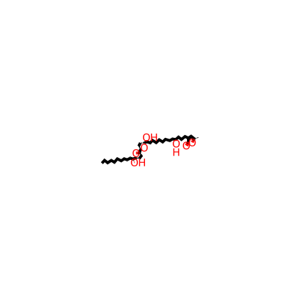 CCCCCCCCCC[C@@H](O)[C@H]1CC[C@H]([C@H]2CC[C@H]([C@H](O)CCCCCCCC[C@@H](O)CCCC3=C[C@H](C)OC3=O)O2)O1